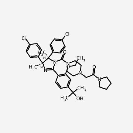 CCOc1cc(C(C)(C)O)ccc1C1=N[C@@](C)(c2ccc(Cl)cc2)[C@@](C)(c2ccc(Cl)cc2)N1C(=O)N1CCN(CC(=O)N2CCCC2)CC1